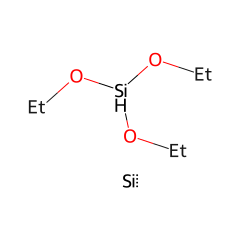 CCO[SiH](OCC)OCC.[Si]